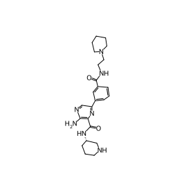 Nc1ncc(-c2cccc(C(=O)NCCN3CCCCC3)c2)nc1C(=O)N[C@H]1CCCNC1